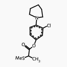 CSC(C)C(=O)Oc1ccc(N2CCCCC2)c(Cl)c1